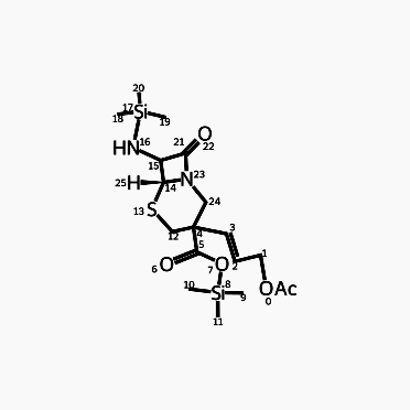 CC(=O)OCC=CC1(C(=O)O[Si](C)(C)C)CS[C@@H]2C(N[Si](C)(C)C)C(=O)N2C1